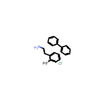 NCCc1cccc[c]1[Pd+].[Cl-].c1ccc(-c2ccccc2)cc1